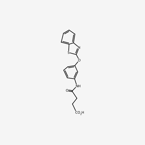 O=C(O)CCC(=O)Nc1cccc(Oc2nc3ccccc3s2)c1